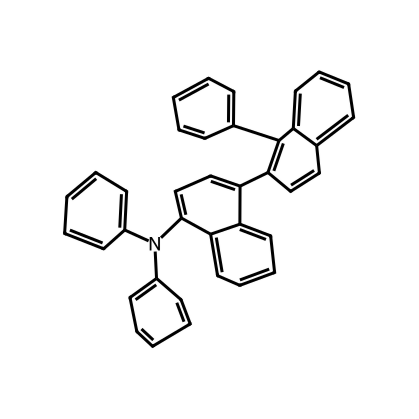 c1ccc(-c2c(-c3ccc(N(c4ccccc4)c4ccccc4)c4ccccc34)ccc3ccccc23)cc1